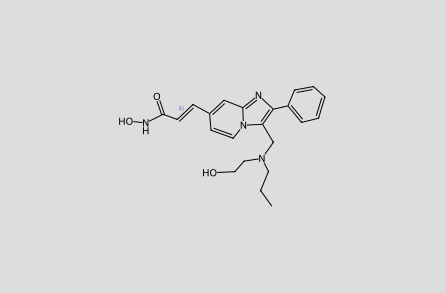 CCCN(CCO)Cc1c(-c2ccccc2)nc2cc(/C=C/C(=O)NO)ccn12